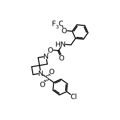 O=C(NCc1ccccc1OC(F)(F)F)ON1CC2(CCN2S(=O)(=O)c2ccc(Cl)cc2)C1